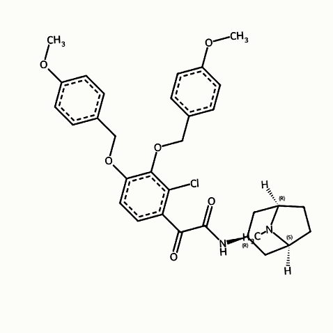 COc1ccc(COc2ccc(C(=O)C(=O)N[C@H]3C[C@H]4CC[C@@H](C3)N4C)c(Cl)c2OCc2ccc(OC)cc2)cc1